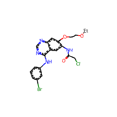 CCOCCOc1cc2ncnc(Nc3cccc(Br)c3)c2cc1NC(=O)CCl